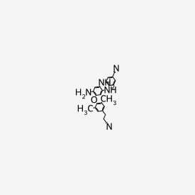 Cc1cc(CCC#N)cc(C)c1Oc1cc(Nc2ccc(C#N)cc2)c(N)cc1N